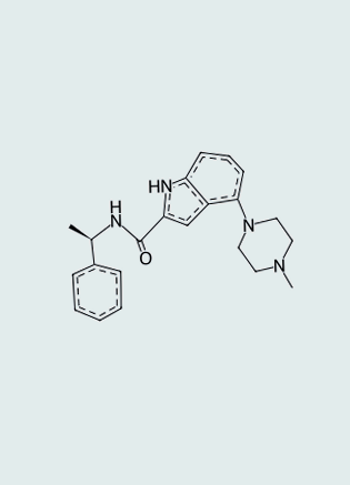 C[C@@H](NC(=O)c1cc2c(N3CCN(C)CC3)cccc2[nH]1)c1ccccc1